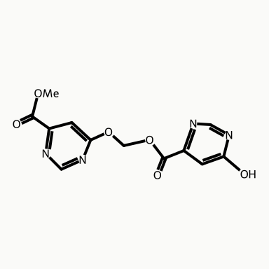 COC(=O)c1cc(OCOC(=O)c2cc(O)ncn2)ncn1